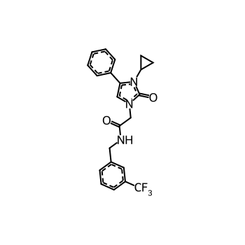 O=C(Cn1cc(-c2ccccc2)n(C2CC2)c1=O)NCc1cccc(C(F)(F)F)c1